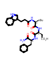 CCCC[C@H](NC(=O)CCc1c[nH]c2ccccc12)C(=O)N[C@@H](CC(=O)O)C(=O)N[C@@H](Cc1ccccc1)C(N)=O